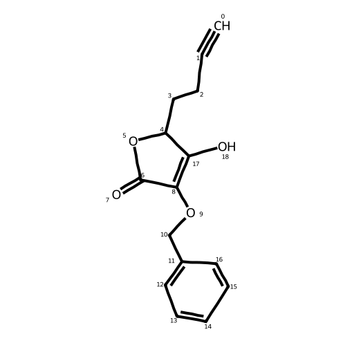 C#CCCC1OC(=O)C(OCc2ccccc2)=C1O